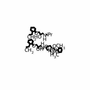 C=CCc1ccccc1OCC(O)CNC(C)C.C=CCc1ccccc1OCC(O)CNC(C)C.CCCN1CCCC[C@H]1C(=O)Nc1c(C)cccc1C